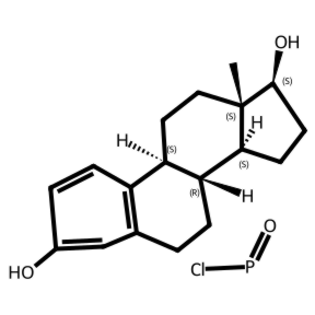 C[C@]12CC[C@@H]3c4ccc(O)cc4CC[C@H]3[C@@H]1CC[C@@H]2O.O=PCl